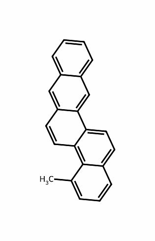 Cc1cccc2ccc3c4cc5ccccc5cc4ccc3c12